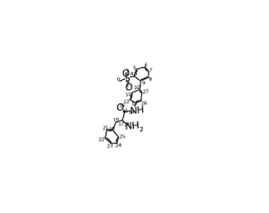 CS(=O)(=O)c1ccccc1-c1ccc(NC(=O)C(N)Cc2ccccc2)cc1